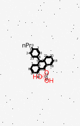 CCCc1ccc(-c2c3ccccc3c(OB(O)O)c3ccccc23)cc1